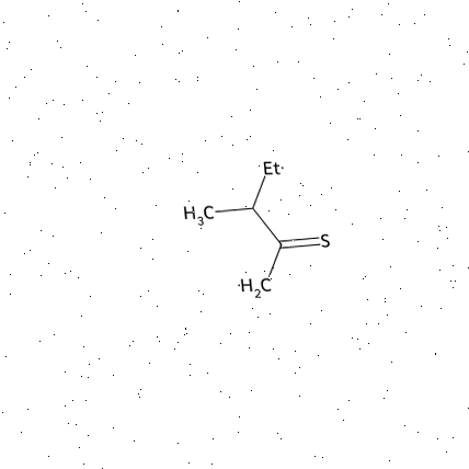 [CH2]C(=S)C(C)[CH]C